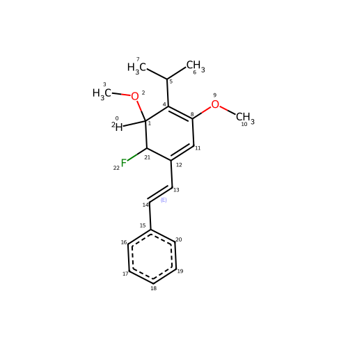 [2H]C1(OC)C(C(C)C)=C(OC)C=C(/C=C/c2ccccc2)C1F